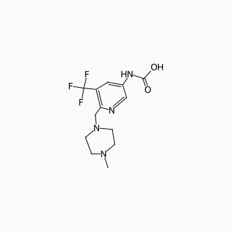 CN1CCN(Cc2ncc(NC(=O)O)cc2C(F)(F)F)CC1